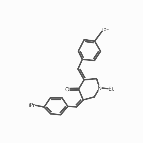 CCN1C/C(=C/c2ccc(C(C)C)cc2)C(=O)/C(=C/c2ccc(C(C)C)cc2)C1